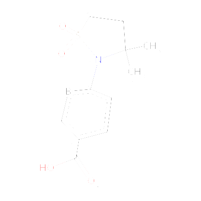 CC1(C)CCS(=O)(=O)N1c1bcc(C(=O)O)cc1